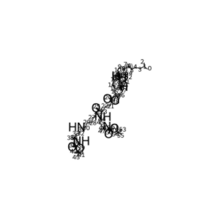 CC(C)CCC[C@@H](C)[C@H]1CC[C@H]2[C@@H]3CC=C4C[C@@H](OC(=O)CCCC(=O)N(CCCCNCCC(C)NC(=O)OC(C)(C)C)CCC(C)NC(=O)OC(C)(C)C)CC[C@]4(C)[C@H]3CC[C@]12C